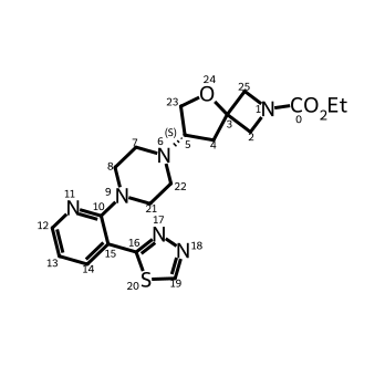 CCOC(=O)N1CC2(C[C@H](N3CCN(c4ncccc4-c4nncs4)CC3)CO2)C1